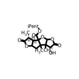 CCCC(C)OC(=O)C12OC3OC(=O)[C@H](O)C3(C)C1(C)CC1OC(=O)[C@H](C)[C@@H]12